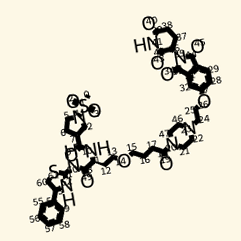 CS(=O)(=O)N1CCC(C(=O)N[C@@H](CCOCCCC(=O)N2CCN(CCOc3ccc4c(c3)C(=O)N(C3CCC(=O)NC3=O)C4=O)CC2)C(=O)NC2NC(c3ccccc3)CS2)C1